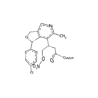 COC(=O)CC(CO[N+](=O)[O-])c1c(C)ncc2c1C(c1ccc(Cl)cc1)OC2